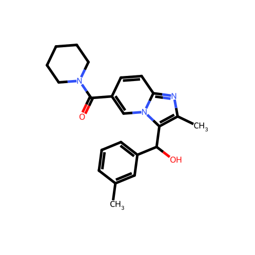 Cc1cccc(C(O)c2c(C)nc3ccc(C(=O)N4CCCCC4)cn23)c1